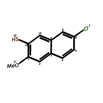 COc1cc2ccc(Cl)cc2cc1S